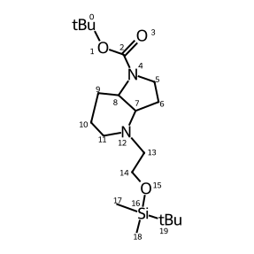 CC(C)(C)OC(=O)N1CCC2C1CCCN2CCO[Si](C)(C)C(C)(C)C